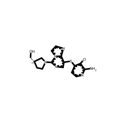 Nc1nccc(Sc2cnc(N3CC[C@H](CO)C3)n3ccnc23)c1Cl